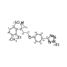 CCc1c(C)ccc(S(=O)(=O)O)c1C1(CCOc2ccc(-c3nnn(CC)n3)cc2)CC1